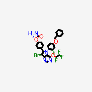 NC(=O)Oc1ccc(-c2c(Br)c3ncnc(OC(F)C(F)F)c3n2-c2ccc(OCc3ccccc3)cc2F)cc1